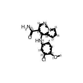 COc1ccc(Nc2c(C(N)=O)cnn3cccc23)cc1Cl